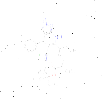 CCC(CCC(C)C(=O)OC(C)(C)C)C1=C(C#N)C(c2ccccc2Cl)c2c[nH]nc2N1